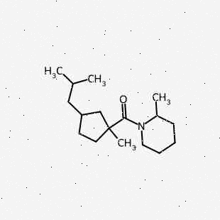 CC(C)CC1CCC(C)(C(=O)N2CCCCC2C)C1